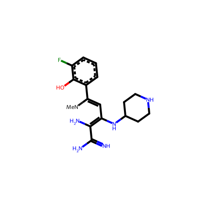 CN/C(=C\C(NC1CCNCC1)=C(/N)C(=N)N)c1cccc(F)c1O